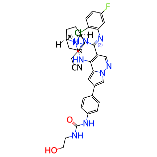 N#CCCN1[C@@H]2CC[C@H]1C[C@H](Nc1c(/C(N)=N/c3cc(F)ccc3Cl)cnn3cc(-c4ccc(NC(=O)NCCO)cc4)cc13)C2